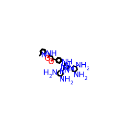 Cc1cccc(NC(=O)CC(=O)c2ccc(Nc3nc(N4C[C@H](N)C[C@H](N)C4)nc(N4C[C@H](N)C[C@H](N)C4)n3)cc2)n1